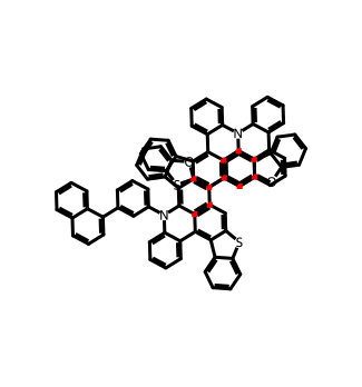 c1cc(-c2cccc3ccccc23)cc(N(c2ccccc2-c2cccc3sc4ccccc4c23)c2ccc(-c3ccc4c(-c5ccccc5N(c5ccccc5-c5cccc6sc7ccccc7c56)c5cccc6oc7ccccc7c56)cccc4c3)c3oc4ccccc4c23)c1